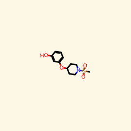 CS(=O)(=O)N1CCC(Oc2cccc(O)c2)CC1